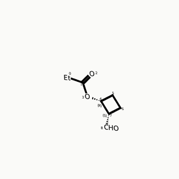 CCC(=O)O[C@@H]1CC[C@@H]1C=O